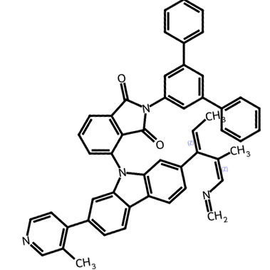 C=N/C=C(C)\C(=C/C)c1ccc2c3ccc(-c4ccncc4C)cc3n(-c3cccc4c3C(=O)N(c3cc(-c5ccccc5)cc(-c5ccccc5)c3)C4=O)c2c1